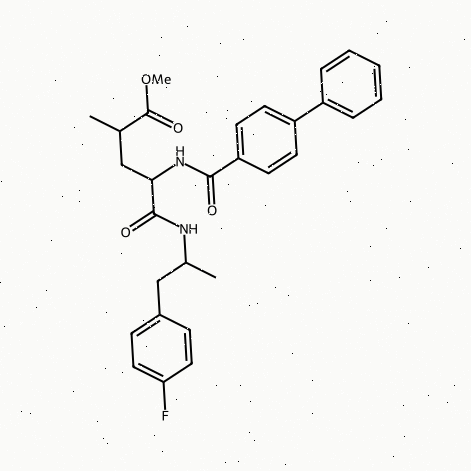 COC(=O)C(C)CC(NC(=O)c1ccc(-c2ccccc2)cc1)C(=O)NC(C)Cc1ccc(F)cc1